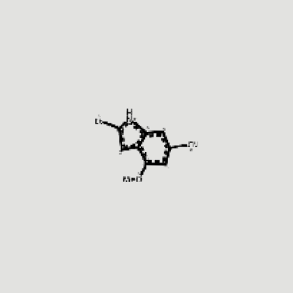 CCc1cc2c(OC)cc(C#N)cc2[nH]1